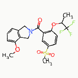 COc1cccc2c1CN(C(=O)c1cc(S(C)(=O)=O)ccc1OC(C)C(F)(F)F)C2